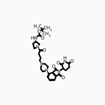 CC(C)(C)OC(=O)N[C@H]1CCN(C(=O)CCCN2CCN(c3cccc4c3C(=O)N(C3CCC(=O)NC3=O)C4=O)CC2)C1